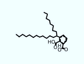 CCCCCCCCCCCCC(CCCCCCCC)c1cccc(C(=O)O)c1C(=O)O